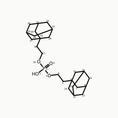 O=P(O)(OCCC12CC3CC(CC(C3)C1)C2)OCCC12CC3CC(CC(C3)C1)C2